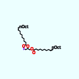 CCCCCCCC/C=C\CCCCCCCC(=O)OCC(CI)OC(=O)CCCCCCC/C=C\CCCCCCCC